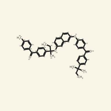 CCC(C)(C)c1ccc(C(=O)c2ccc(Oc3ccc4ccc(OC(C)(CC)c5ccc(C(=O)c6ccc(C)cc6)cc5)cc4c3)cc2)cc1